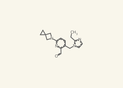 CCc1nccn1Cc1ccc(N2CC3(CC3)C2)nc1C=O